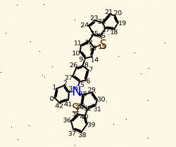 c1ccc(N(c2ccc(-c3ccc4c(c3)sc3c5ccccc5ccc43)cc2)c2cccc3c2sc2ccccc23)cc1